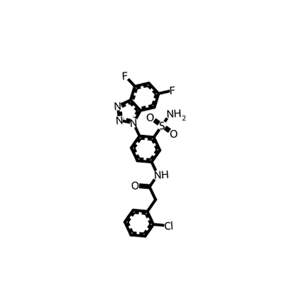 NS(=O)(=O)c1cc(NC(=O)Cc2ccccc2Cl)ccc1-n1nnc2c(F)cc(F)cc21